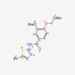 COCOc1ccc(C(=O)Nc2ncc(C(C)C)s2)cc1OC